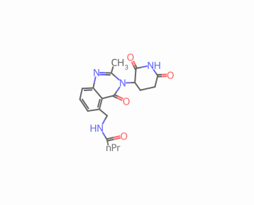 CCCC(=O)NCc1cccc2nc(C)n(C3CCC(=O)NC3=O)c(=O)c12